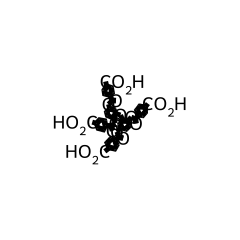 O=C(O)c1ccc(C(=O)Oc2ccc(OC(=O)c3ccc(C(=O)O)cc3)c(Oc3cc(OC(=O)c4ccc(C(=O)O)cc4)ccc3OC(=O)c3ccc(C(=O)O)cc3)c2)cc1